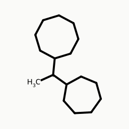 C[C](C1CCCCCCC1)C1CCCCCC1